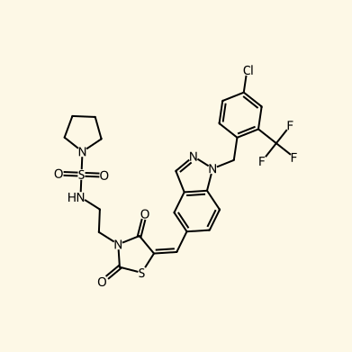 O=C1SC(=Cc2ccc3c(cnn3Cc3ccc(Cl)cc3C(F)(F)F)c2)C(=O)N1CCNS(=O)(=O)N1CCCC1